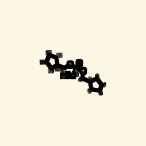 CCCCP(=O)(OCC1CCCC1)OCC1CCCC1